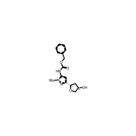 CC(C)(C)n1nc([C@@H]2C[C@@H](O)CO2)cc1NC(=O)OCc1ccccc1